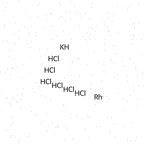 Cl.Cl.Cl.Cl.Cl.Cl.[KH].[Rh]